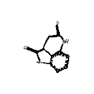 O=C1CC2C(=O)Nc3cccc(c32)N1